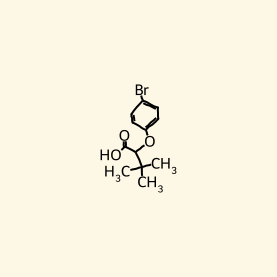 CC(C)(C)C(Oc1ccc(Br)cc1)C(=O)O